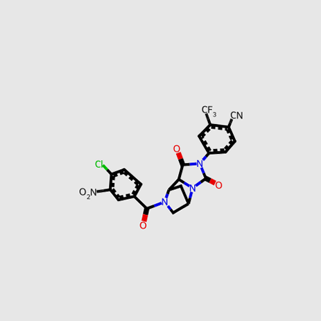 N#Cc1ccc(N2C(=O)C3C4CC(CN4C(=O)c4ccc(Cl)c([N+](=O)[O-])c4)N3C2=O)cc1C(F)(F)F